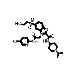 CC(C)N1CCC(NC(=O)c2nc3ccc(S(=O)(=O)CCO)cc3n2CC(=O)Nc2ccc(Cl)cn2)CC1